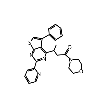 CC(CC(=O)N1CCOCC1)c1nc(-c2ccccn2)nc2scc(-c3ccccc3)c12